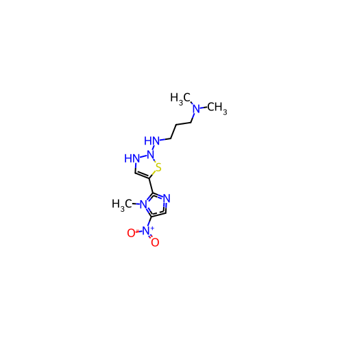 CN(C)CCCNN1NC=C(c2ncc([N+](=O)[O-])n2C)S1